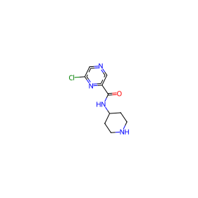 O=C(NC1CCNCC1)c1cncc(Cl)n1